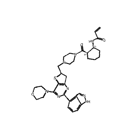 C=CC(=O)N[C@H]1CCCC[C@H]1C(=O)N1CCN(CC2Cc3nc(-c4cccc5[nH]ncc45)nc(N4CCOCC4)c3S2)CC1